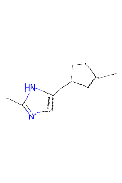 Cc1ncc(C2CCC(C)C2)[nH]1